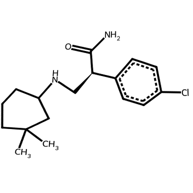 CC1(C)CCCC(NC[C@@H](C(N)=O)c2ccc(Cl)cc2)C1